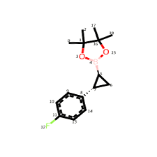 CC1(C)OB([C@H]2C[C@@H]2c2ccc(F)cc2)OC1(C)C